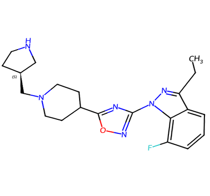 CCc1nn(-c2noc(C3CCN(C[C@H]4CCNC4)CC3)n2)c2c(F)cccc12